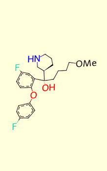 COCCCC[C@@](O)(c1cc(F)ccc1Oc1ccc(F)cc1)[C@@H]1CCCNC1